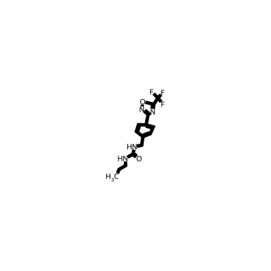 CCCNC(=O)NCc1ccc(-c2noc(C(F)(F)F)n2)cc1